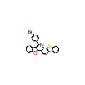 Brc1ccc(-c2nc3c(ccc4c5ccccc5sc43)c3oc4ccccc4c23)cc1